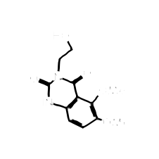 COc1ccc2[nH]c(=O)n(CCO)c(=O)c2c1OC